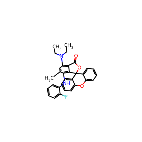 CCN(CC)c1cc(C)c(Nc2ccccc2F)c2c1C(=O)OC21c2ccccc2Oc2ccccc21